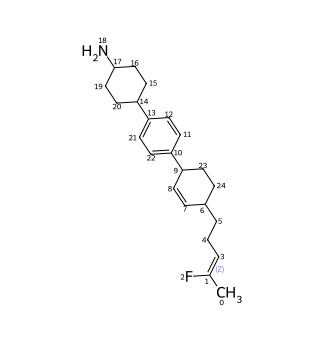 C/C(F)=C/CCC1C=CC(c2ccc(C3CCC(N)CC3)cc2)CC1